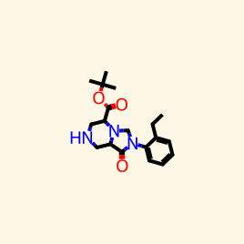 CCc1ccccc1N1CN2C(C(=O)OC(C)(C)C)CNCC2C1=O